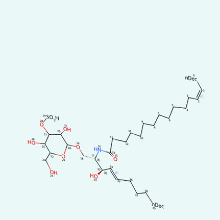 CCCCCCCCCC/C=C\CCCCCCCCCCCC(=O)N[C@@H](COC1OC(CO)C(O)C(OS(=O)(=O)O)C1O)[C@H](O)/C=C/CCCCCCCCCCCCC